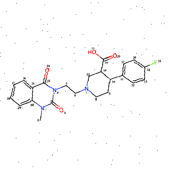 Cn1c(=O)n(CCN2CCC(c3ccc(F)cc3)C(C(=O)O)C2)c(=O)c2ccccc21